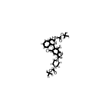 CC(C)(C)OC(=O)Nc1cc2ccccc2c(-c2c(Cl)cc3c(N4CCN(C(=O)OC(C)(C)C)CC4)snc3c2F)n1